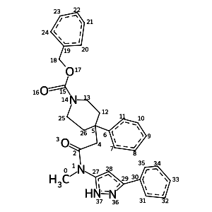 CN(C(=O)CC1(c2ccccc2)CCN(C(=O)OCc2ccccc2)CC1)c1cc(-c2ccccc2)n[nH]1